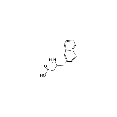 NC(CC(=O)O)Cc1ccc2ccccc2c1